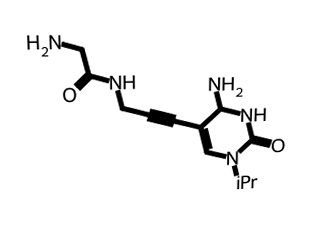 CC(C)N1C=C(C#CCNC(=O)CN)C(N)NC1=O